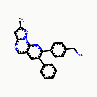 Cc1cc2ncc3cc(-c4ccccc4)c(-c4ccc(CN)cc4)nc3n2n1